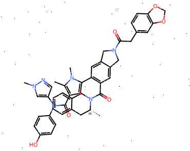 Cc1c(C(=O)N(c2ccc(O)cc2)c2cnn(C)c2)cc(-c2cc3c(cc2C(=O)N2Cc4ccccc4C[C@H]2C)CN(C(=O)Cc2ccc4c(c2)OCO4)C3)n1C